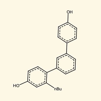 CCCCc1cc(O)ccc1-c1cccc(-c2ccc(O)cc2)c1